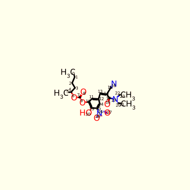 CCCCC(C)OC(=O)Oc1cc(C=C(C#N)C(=O)N(CC)CC)cc([N+](=O)[O-])c1O